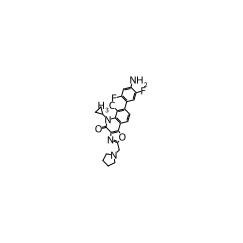 Cc1c(-c2cc(F)c(N)cc2F)ccc2c3oc(CN4CCCC4)nc3c(=O)n(C3CC3)c12